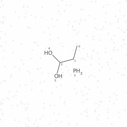 CCC(O)O.P